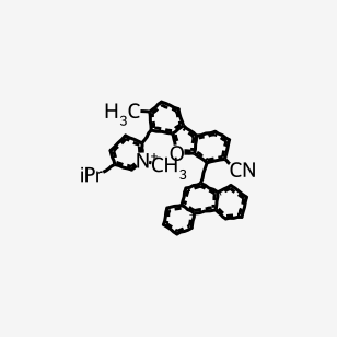 Cc1ccc2c(oc3c(-c4cc5ccccc5c5ccccc45)c(C#N)ccc32)c1-c1ccc(C(C)C)c[n+]1C